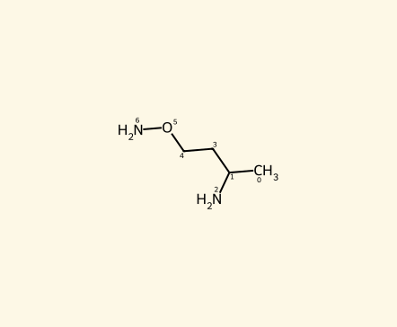 CC(N)CCON